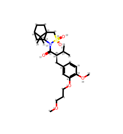 COCCCOc1cc(C[C@@H](C(=O)N2C3CC4CCC3(CS2(=O)=O)C4(C)C)C(C)C)ccc1OC